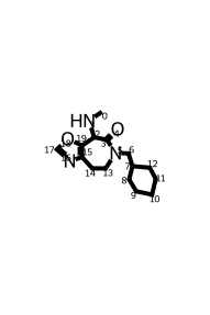 CNC1C(=O)N(CC2CCCCC2)CCc2ncoc21